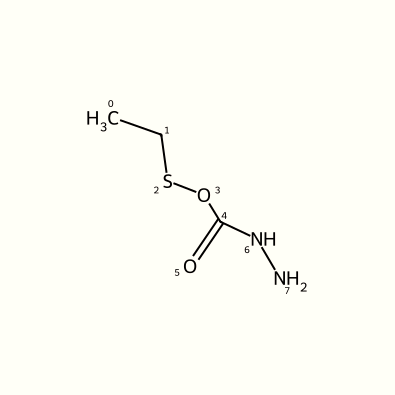 CCSOC(=O)NN